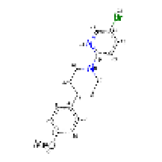 COc1ccc(C2CCN(c3ccc(Br)cn3)CC2)cc1